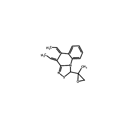 C/C=C1\C(=C/C)C2=NSC(C3(C)CO3)N2c2ccccc21